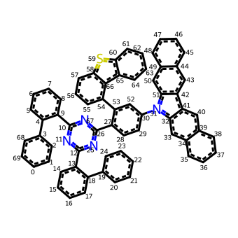 c1ccc(-c2ccccc2-c2nc(-c3ccccc3-c3ccccc3)nc(-c3ccc(-n4c5cc6ccccc6cc5c5cc6ccccc6cc54)cc3-c3cccc4sc5ccccc5c34)n2)cc1